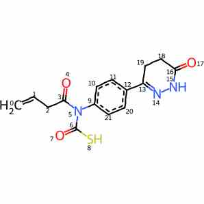 C=CCC(=O)N(C(=O)S)c1ccc(C2=NNC(=O)CC2)cc1